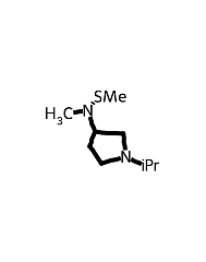 CSN(C)C1CCN(C(C)C)C1